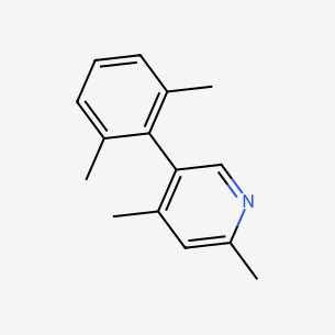 Cc1cc(C)c(-c2c(C)cccc2C)cn1